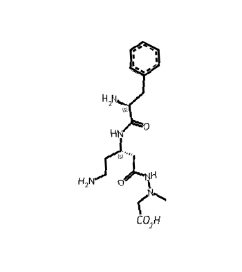 CN(CC(=O)O)NC(=O)C[C@H](CCN)NC(=O)[C@@H](N)Cc1ccccc1